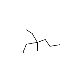 CCCC(C)(CC)CCl